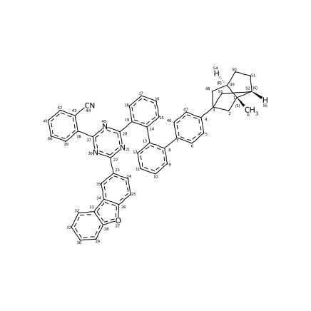 C[C@@]12CC3(c4ccc(-c5ccccc5-c5ccccc5-c5nc(-c6ccc7oc8ccccc8c7c6)nc(-c6ccccc6C#N)n5)cc4)C[C@H]1CC[C@H]2C3